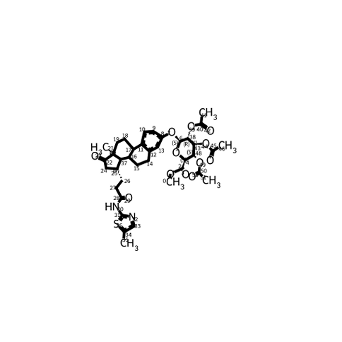 COC(=O)[C@H]1O[C@@H](Oc2ccc3c(c2)CCC2C3CC[C@]3(C)C(=O)C[C@@H](CCC(=O)Nc4ncc(C)s4)C23)[C@H](OC(C)=O)[C@@H](OC(C)=O)[C@@H]1OC(C)=O